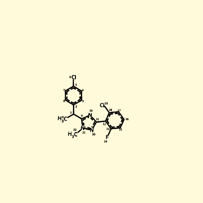 CC(c1ccc(Cl)cc1)c1nc(-c2c(F)cccc2Cl)nn1C